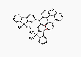 CC1(C)c2ccccc2-c2ccc(N(c3ccc4c(c3)C(C)(C)c3ccccc3-4)c3ccc4oc5cccc6c7ccccc7c3c4c56)cc21